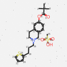 CC(C)(C)C(=O)Oc1ccc2c(c1)CCN(CCCc1cccs1)C2.CS(=O)(=O)O